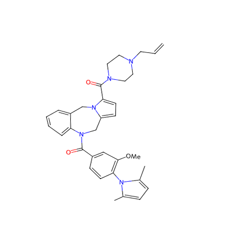 C=CCN1CCN(C(=O)c2ccc3n2Cc2ccccc2N(C(=O)c2ccc(-n4c(C)ccc4C)c(OC)c2)C3)CC1